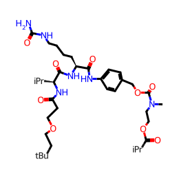 CC(C)C(=O)OCCN(C)C(=O)OCc1ccc(NC(=O)[C@H](CCCCNC(N)=O)NC(=O)[C@@H](NC(=O)CCOCCC(C)(C)C)C(C)C)cc1